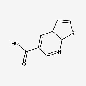 O=C(O)C1=CC2C=CSC2N=C1